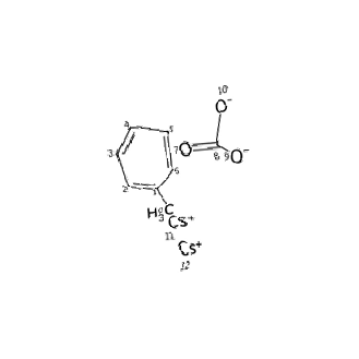 Cc1ccccc1.O=C([O-])[O-].[Cs+].[Cs+]